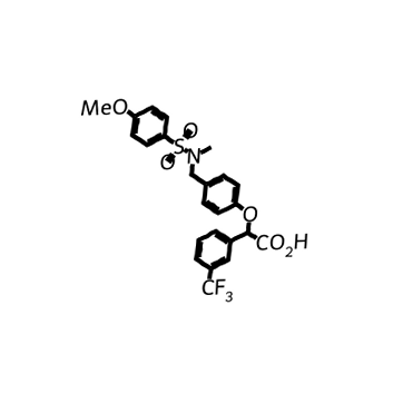 COc1ccc(S(=O)(=O)N(C)Cc2ccc(OC(C(=O)O)c3cccc(C(F)(F)F)c3)cc2)cc1